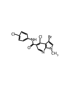 Cn1cc(Br)c2c(Cl)c(C(=O)Nc3ccc(Cl)cc3)cnc21